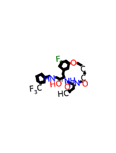 C#CCC1NC(=O)CCCCCOc2cc(F)cc(c2)CC([C@H](O)CNCc2cccc(C(F)(F)F)c2)NC1=O